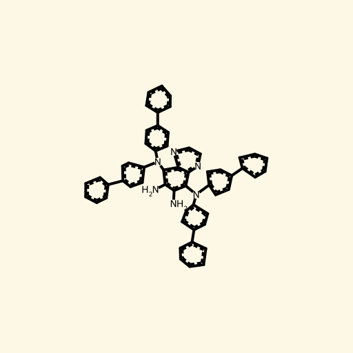 Nc1c(N)c(N(c2ccc(-c3ccccc3)cc2)c2ccc(-c3ccccc3)cc2)c2nccnc2c1N(c1ccc(-c2ccccc2)cc1)c1ccc(-c2ccccc2)cc1